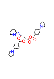 O=C(CCC(=Nc1ccccn1)OC(=O)c1ccc(-n2cccc2)cc1)OC(=O)c1ccc(-n2cccc2)cc1